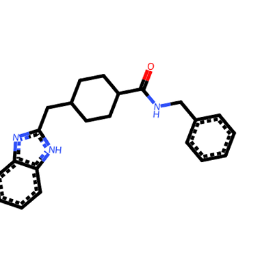 O=C(NCc1ccccc1)C1CCC(Cc2nc3ccccc3[nH]2)CC1